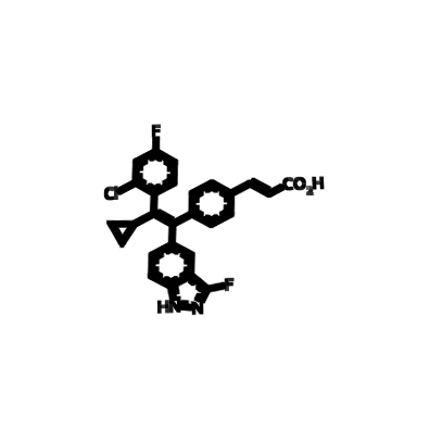 O=C(O)C=Cc1ccc(C(=C(c2ccc(F)cc2Cl)C2CC2)c2ccc3[nH]nc(F)c3c2)cc1